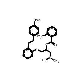 COc1ccc(CCc2ccccc2OCC(CN(C)C)OC(=O)c2ccccc2C(=O)O)cc1